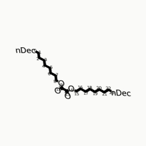 CCCCCCCCCCCCCCCCCCOC(=O)C(=O)OCCCCCCCCCCCCCCCCCC